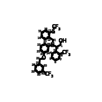 OCC(c1ccccc1C(F)(F)F)N(Cc1ccccc1SC(F)(F)F)c1cccc(OCc2cccc(C(F)(F)F)c2)c1